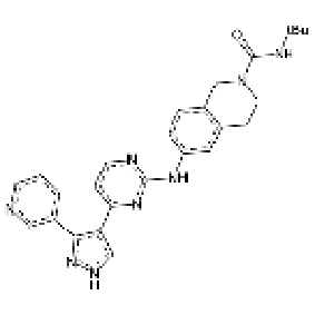 CC(C)(C)NC(=O)N1CCc2cc(Nc3nccc(-c4c[nH]nc4-c4cccnc4)n3)ccc2C1